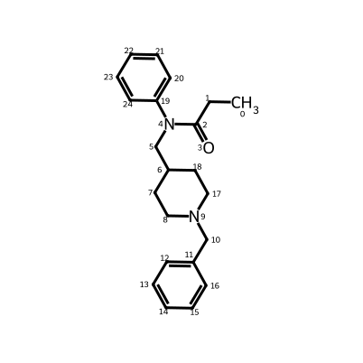 CCC(=O)N(CC1CCN(Cc2ccccc2)CC1)c1ccccc1